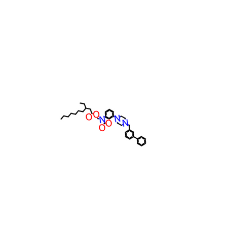 CCCCCCCC(CC)CC(=O)OCn1c(=O)oc2c(N3CCN(Cc4cccc(-c5ccccc5)c4)CC3)cccc21